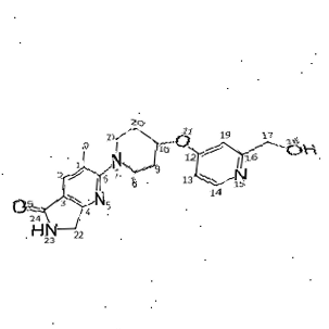 Cc1cc2c(nc1N1CCC(Oc3ccnc(CO)c3)CC1)CNC2=O